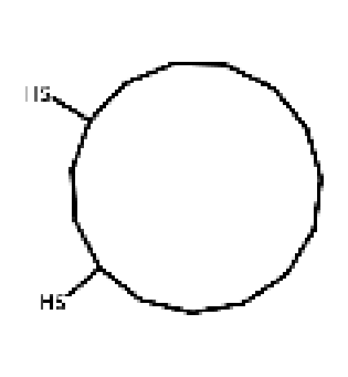 SC1CCCCCCCCCCCC(S)CC1